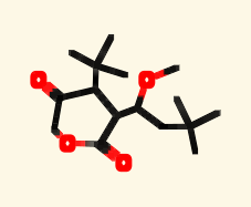 COC(CC(C)(C)C)C1C(=O)OCC(=O)C1C(C)(C)C